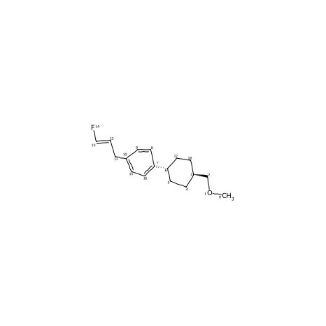 COC[C@H]1CC[C@H](c2ccc(CC=CF)cc2)CC1